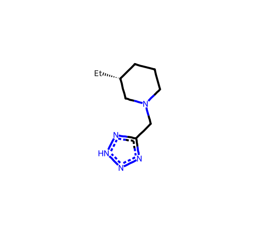 CC[C@@H]1CCCN(Cc2nn[nH]n2)C1